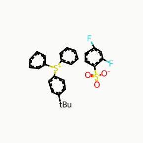 CC(C)(C)c1ccc([S+](c2ccccc2)c2ccccc2)cc1.O=S(=O)([O-])c1ccc(F)cc1F